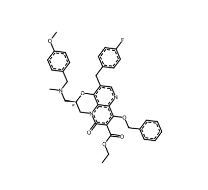 CCOC(=O)c1c(OCc2ccccc2)c2ncc(Cc3ccc(F)cc3)c3c2n(c1=O)C[C@@H](CN(C)Cc1ccc(OC)cc1)O3